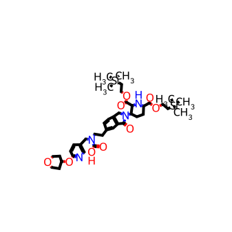 C[Si](C)(C)CCOC(=O)C1CCC(N2Cc3ccc(CCN(Cc4ccc(OC5CCOCC5)nc4)C(=O)O)cc3C2=O)C(C(=O)OCC[Si](C)(C)C)N1